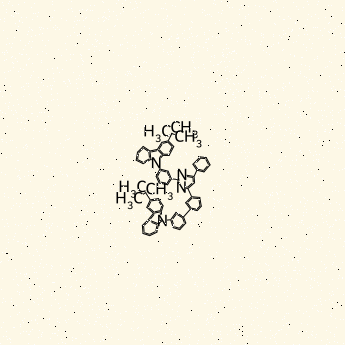 CC(C)(C)c1ccc2c(c1)c1ccccc1n2-c1cccc(-c2cccc(-c3cc(-c4ccccc4)nc(-c4cccc(-n5c6ccccc6c6cc(C(C)(C)C)ccc65)c4)n3)c2)c1